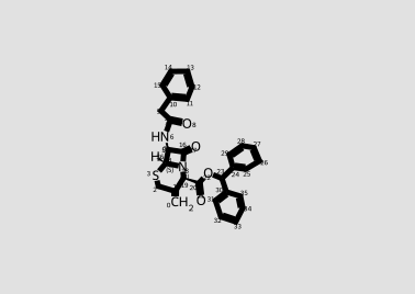 C=C1CS[C@H]2[C@H](NC(=O)Cc3ccccc3)C(=O)N2[C@H]1C(=O)OC(c1ccccc1)c1ccccc1